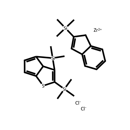 C[Si](C)(C)C1=C2C3C(=CC=C3[Si]2(C)C)S1.C[Si](C)(C)C1=Cc2ccccc2C1.[Cl-].[Cl-].[Zr+2]